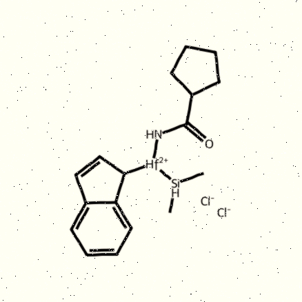 C[SiH](C)[Hf+2]([NH]C(=O)C1CCCC1)[CH]1C=Cc2ccccc21.[Cl-].[Cl-]